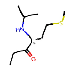 CCC(=O)[C@@H](CCSC)NC(C)C